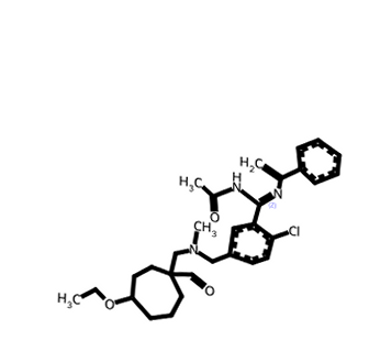 C=C(/N=C(\NC(C)=O)c1cc(CN(C)CC2(C=O)CCCC(OCC)CC2)ccc1Cl)c1ccccc1